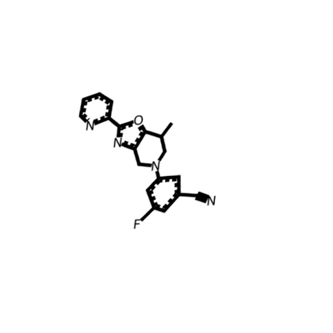 CC1CN(c2cc(F)cc(C#N)c2)Cc2nc(-c3ccccn3)oc21